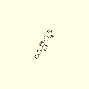 OCC1CC(n2nnc3c(NCc4cccs4)ncnc32)CC1O